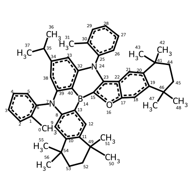 Cc1ccccc1N1c2cc3c(cc2B2c4oc5cc6c(cc5c4N(c4ccccc4C)c4cc(C(C)C)cc1c42)C(C)(C)CCC6(C)C)C(C)(C)CCC3(C)C